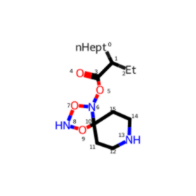 CCCCCCCC(CC)C(=O)ON1ONOC12CCNCC2